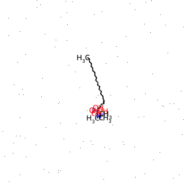 CCCCCCCCCCCCCCCCCCC/C=C\CCCC(O)(C[N+](C)(C)C)P(=O)(O)O